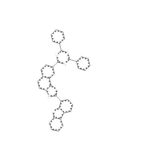 c1ccc(-c2nc(-c3ccccc3)nc(-c3ccc4ccc5nc(-c6cccc7c6sc6ccccc67)oc5c4c3)n2)cc1